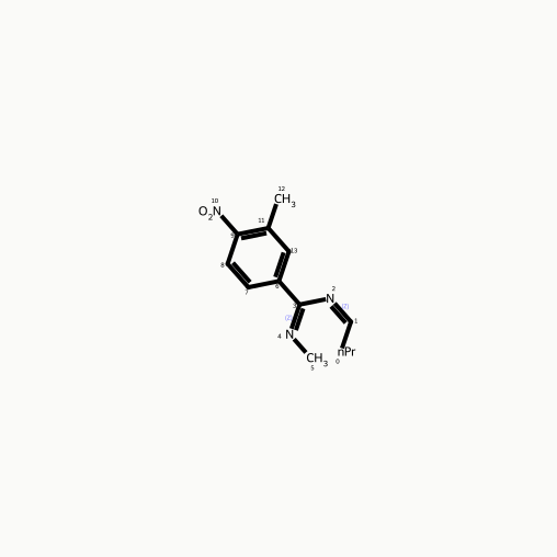 CCC/C=N\C(=N/C)c1ccc([N+](=O)[O-])c(C)c1